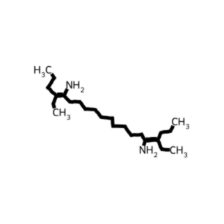 CCCC(CC)=C(N)CCCCCCCCCCC(N)=C(CC)CCC